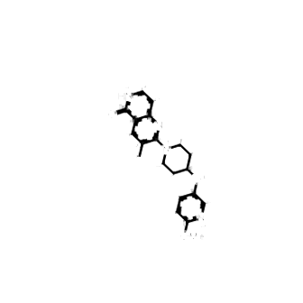 COc1ccc(OC2CCN(c3nc4cc[nH]c(=O)c4cc3C)CC2)cn1